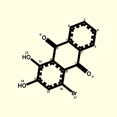 O=C1c2ccccc2C(=O)c2c(O)c(O)cc(Br)c21